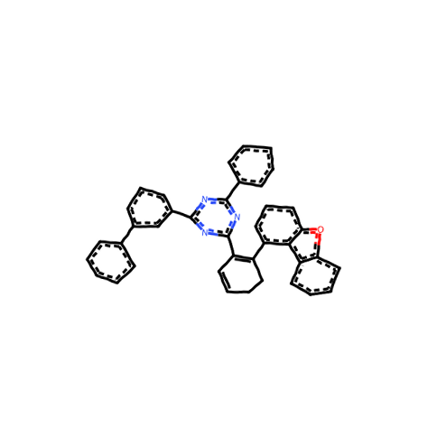 C1=CC(c2nc(-c3ccccc3)nc(-c3cccc(-c4ccccc4)c3)n2)=C(c2cccc3oc4ccccc4c23)CC1